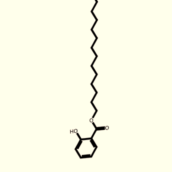 CCCCCCCCCCCCCCCCCCCCCCCOC(=O)c1ccccc1O